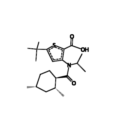 CC(C)N(C(=O)[C@@H]1CC[C@@H](C)C[C@H]1C)c1cc(C(C)(C)C)sc1C(=O)O